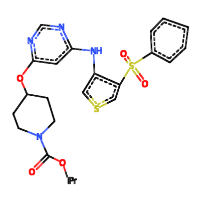 CC(C)OC(=O)N1CCC(Oc2cc(Nc3cscc3S(=O)(=O)c3ccccc3)ncn2)CC1